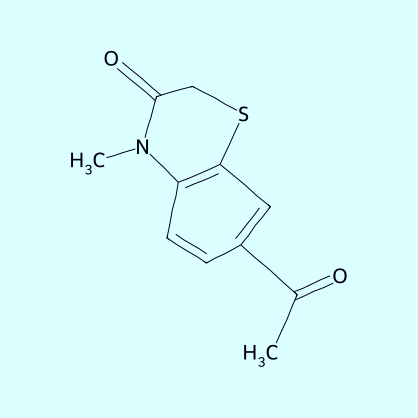 CC(=O)c1ccc2c(c1)SCC(=O)N2C